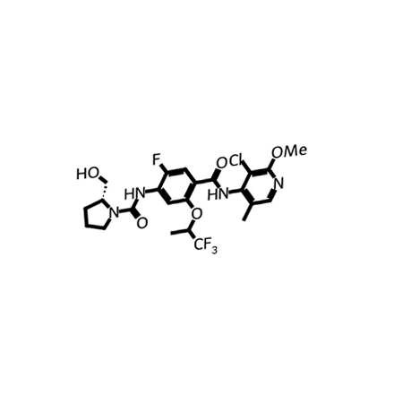 COc1ncc(C)c(NC(=O)c2cc(F)c(NC(=O)N3CCC[C@@H]3CO)cc2OC(C)C(F)(F)F)c1Cl